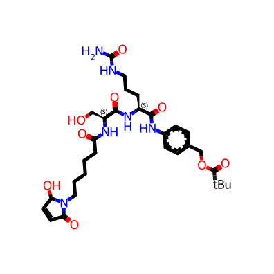 CC(C)(C)C(=O)OCc1ccc(NC(=O)[C@H](CCCNC(N)=O)NC(=O)[C@H](CO)NC(=O)CCCCCN2C(=O)C=CC2O)cc1